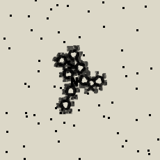 CC1(C)c2ccccc2-c2ccc(N(c3ccc(-c4ccccc4)cc3)c3ccc4c(c3)[Si]3(c5ccccc5-c5ccccc53)c3ccccc3-4)cc21